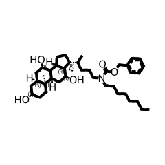 CCCCCCCCN(CCCC(C)[C@H]1CC[C@H]2C3[C@H](O)C[C@@H]4C[C@H](O)CC[C@]4(C)[C@H]3C[C@H](O)[C@]12C)C(=O)OCc1ccccc1